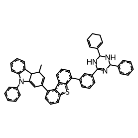 CC1C=C(c2cccc3sc4c(-c5cccc(C6=NC(c7ccccc7)NC(C7=CCCC=C7)N6)c5)cccc4c23)C=C2C1c1ccccc1N2c1ccccc1